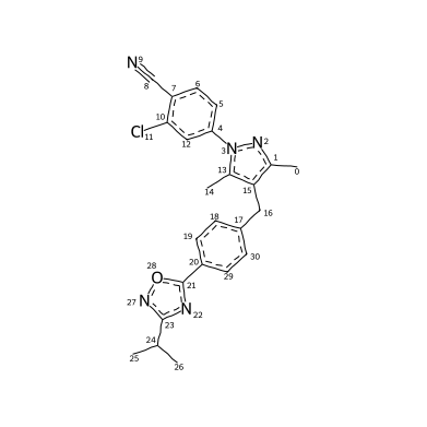 Cc1nn(-c2ccc(C#N)c(Cl)c2)c(C)c1Cc1ccc(-c2nc(C(C)C)no2)cc1